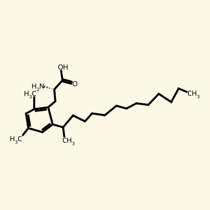 CCCCCCCCCCCCC(C)c1cc(C)cc(C)c1C[C@H](N)C(=O)O